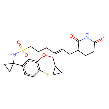 O=C1CCC(CC=CCCCS(=O)(=O)NC2(c3ccc(F)c(OCC4CC4)c3)CC2)C(=O)N1